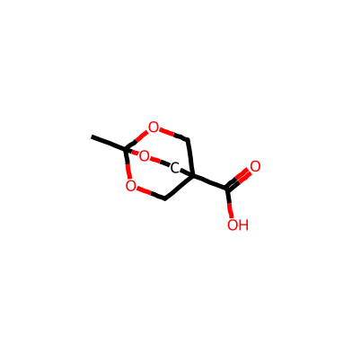 CC12OCC(C(=O)O)(CO1)CO2